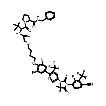 CC(C)(C)C(NC(=O)COCCCCOc1c(F)cc(-c2ncc(N3C(=S)N(c4ccc(C#N)c(C(F)(F)F)c4F)C(=O)C3(C)C)cc2C(F)(F)F)cc1F)C(=O)N1CCCC1C(=O)NCc1ccccc1